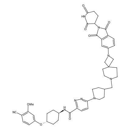 COc1cc(O[C@H]2CC[C@H](NC(=O)c3ccc(N4CCC(CN5CCC6(CC5)CN(c5ccc7c(c5)C(=O)N(C5CCC(=O)NC5=O)C7=O)C6)CC4)nn3)CC2)ccc1C#N